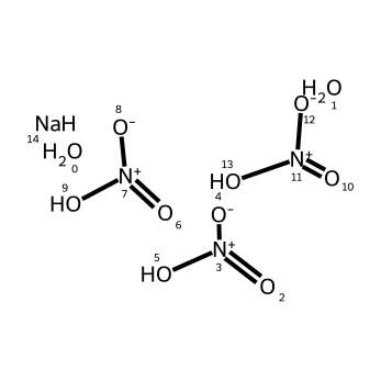 O.O.O=[N+]([O-])O.O=[N+]([O-])O.O=[N+]([O-])O.[NaH]